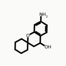 Nc1ccc2c(c1)OC1(CCCCC1)CC2O